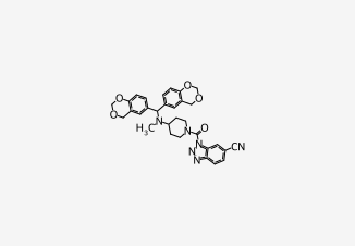 CN(C1CCN(C(=O)n2nnc3ccc(C#N)cc32)CC1)C(c1ccc2c(c1)COCO2)c1ccc2c(c1)COCO2